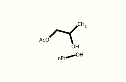 CC(=O)OCC(C)O.CCCO